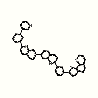 c1cncc(-c2cccc(-c3ccc4ccc(-c5ccc6ccc(-c7cccc(-c8ccc9ccc%10cccnc%10c9n8)c7)nc6c5)cc4n3)c2)c1